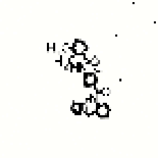 Cc1cccc(C(=O)Nc2ccc(C(=O)N3Cc4cccn4Cc4ccccc43)cc2Cl)c1C